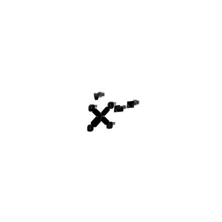 O=P([O-])([O-])[O-].[Na+].[Ni+2].[V+5]